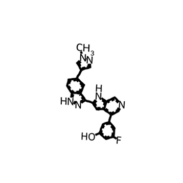 Cn1cc(-c2ccc3[nH]nc(-c4cc5c(-c6cc(O)cc(F)c6)cncc5[nH]4)c3c2)cn1